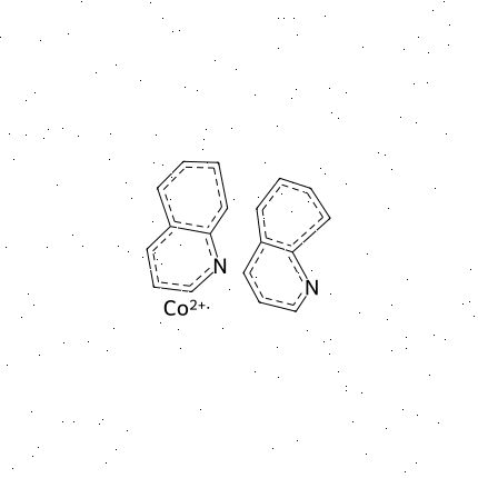 [Co+2].c1ccc2ncccc2c1.c1ccc2ncccc2c1